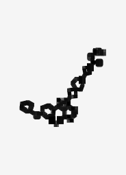 CC(C)(C)OC(=O)N1CC(N2CCC3(CC2)CC(n2nc(-c4ccc(Oc5ccccc5)cc4)c4c(N)ncnc42)C3)C1